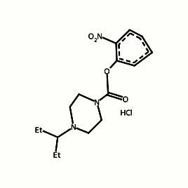 CCC(CC)N1CCN(C(=O)Oc2ccccc2[N+](=O)[O-])CC1.Cl